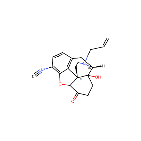 [C-]#[N+]c1ccc2c3c1OC1C(=O)CCC4(O)[C@@H](C2)N(CC=C)CC[C@]314